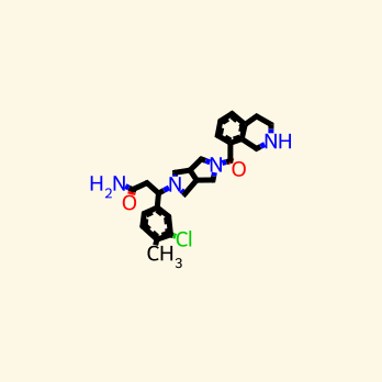 Cc1ccc(C(CC(N)=O)N2CC3CN(C(=O)c4cccc5c4CNCC5)CC3C2)cc1Cl